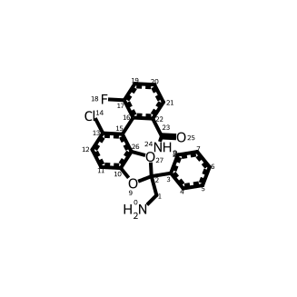 NCC1(c2ccccc2)Oc2ccc(Cl)c(-c3c(F)cccc3C(N)=O)c2O1